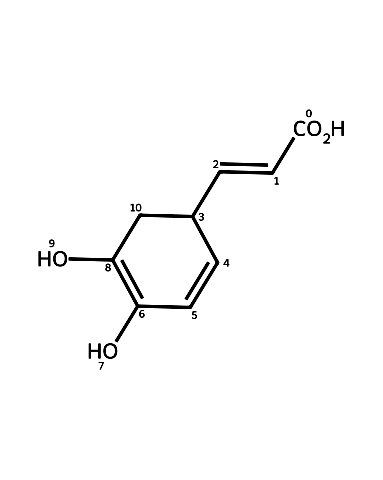 O=C(O)C=CC1C=CC(O)=C(O)C1